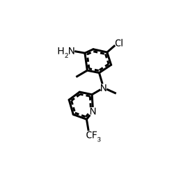 Cc1c(N)cc(Cl)cc1N(C)c1cccc(C(F)(F)F)n1